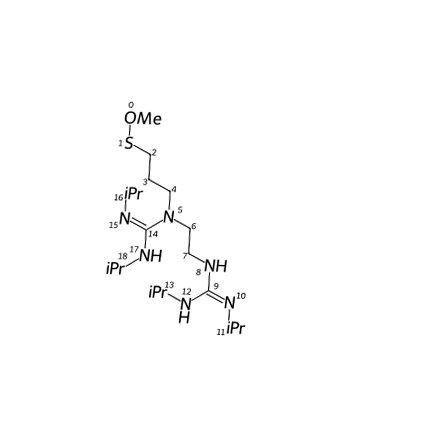 COSCCCN(CCN/C(=N/C(C)C)NC(C)C)/C(=N\C(C)C)NC(C)C